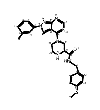 CSc1ccc(CNC(=O)C2CN(c3ncnc4nn(-c5cccc(C)c5)cc34)CCN2)cc1